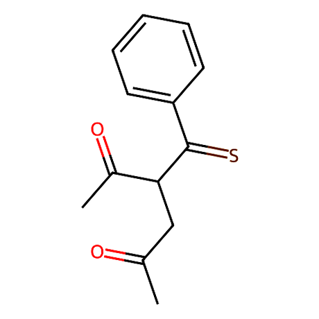 CC(=O)CC(C(C)=O)C(=S)c1ccccc1